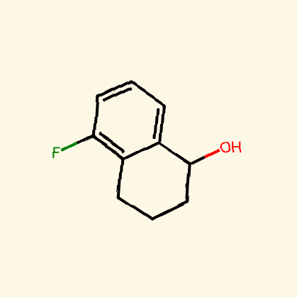 OC1CCCc2c(F)cccc21